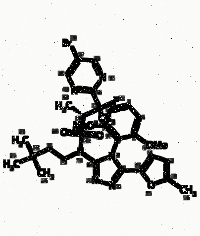 COc1cccc(OC)c1-n1c(-c2ccc(C)o2)nnc1N(CC[Si](C)(C)C)S(=O)(=O)[C@H](C)[C@@](C)(F)c1ncc(Br)cn1